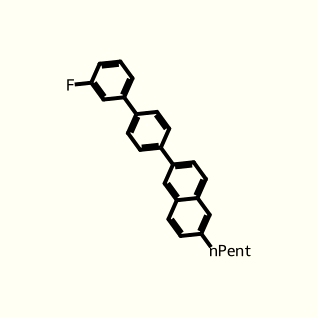 CCCCCc1ccc2cc(-c3ccc(-c4cccc(F)c4)cc3)ccc2c1